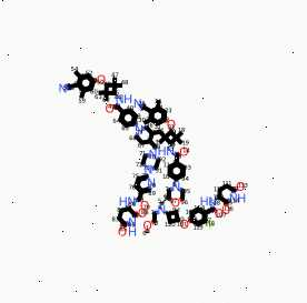 COCCN(C[C@@H]1CN(c2ccc(C(=O)N[C@H]3C(C)(C)[C@H](Oc4cc(C)c(C#N)c(C)c4)C3(C)CC3CN(c4ccc(C(=O)N[C@H]5C(C)(C)[C@H](Oc6cc(C)c(C#N)c(C)c6)C5(C)C)cc4)CCC3CN3CCN(c4ccc(C(=O)N[C@H]5CCC(=O)NC5=O)cn4)CC3)cc2)CCO1)[C@H]1C[C@@H](Oc2ccc(C(=O)N[C@H]3CCC(=O)NC3=O)c(F)c2)C1